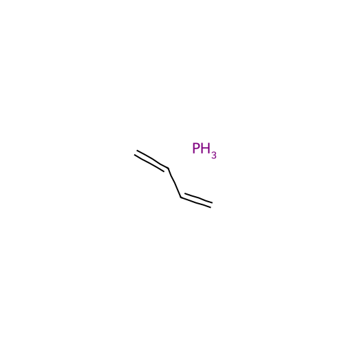 C=CC=C.P